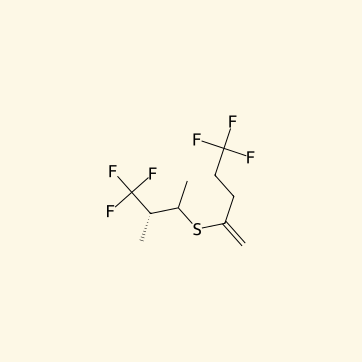 C=C(CCC(F)(F)F)SC(C)[C@H](C)C(F)(F)F